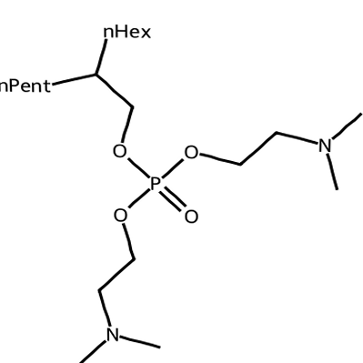 CCCCCCC(CCCCC)COP(=O)(OCCN(C)C)OCCN(C)C